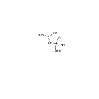 CCCCCCCC(OP(O)O)(C(C)C)C(C)C